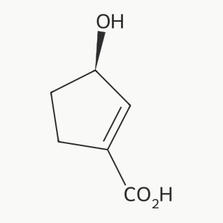 O=C(O)C1=C[C@H](O)CC1